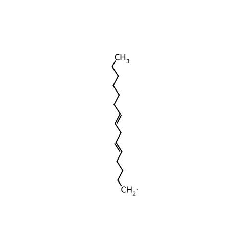 [CH2]CCCC=CCC=CCCCCCC